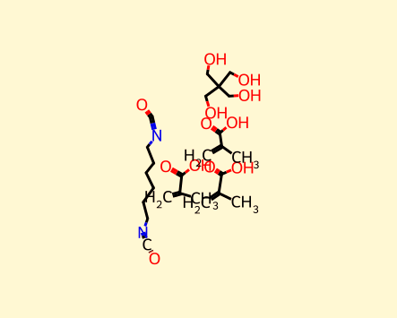 C=C(C)C(=O)O.C=C(C)C(=O)O.C=C(C)C(=O)O.O=C=NCCCCCCN=C=O.OCC(CO)(CO)CO